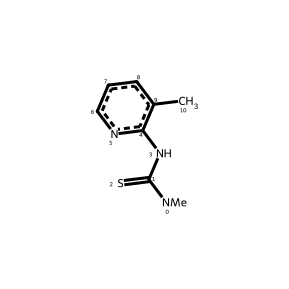 CNC(=S)Nc1ncccc1C